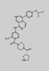 Cc1cc(NC2=NC=CN3C2=CNC=C3c2ccc(OC(F)F)cc2)ccc1C(=O)N1CCN(C(=O)[C@@H]2CCNC2)CC1